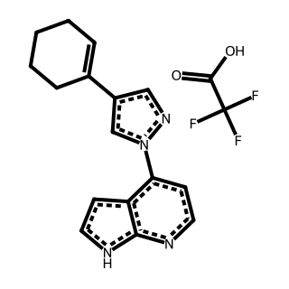 C1=C(c2cnn(-c3ccnc4[nH]ccc34)c2)CCCC1.O=C(O)C(F)(F)F